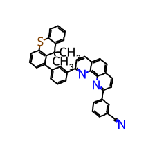 CC1(C)c2ccccc2Sc2cccc(-c3cccc(-c4ccc5ccc6ccc(-c7cccc(C#N)c7)nc6c5n4)c3)c21